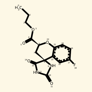 CCCOC(=O)[C@@H]1C[C@]2(NC(=O)NC2=O)c2cc(F)ccc2O1